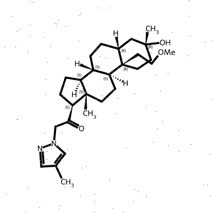 COCC[C@]12CC[C@@](C)(O)C[C@H]1CC[C@H]1[C@@H]3CC[C@H](C(=O)Cn4cc(C)cn4)[C@@]3(C)CC[C@@H]12